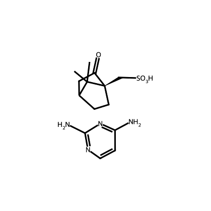 CC1(C)C2CC[C@@]1(CS(=O)(=O)O)C(=O)C2.Nc1ccnc(N)n1